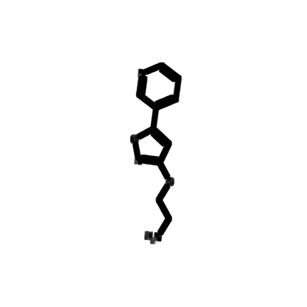 NCCOc1cc(-c2cccnc2)on1